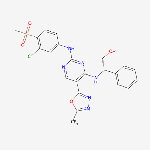 CS(=O)(=O)c1ccc(Nc2ncc(-c3nnc(C(F)(F)F)o3)c(N[C@H](CO)c3ccccc3)n2)cc1Cl